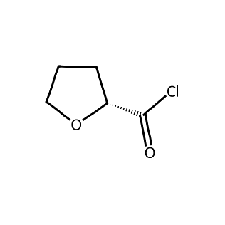 O=C(Cl)[C@H]1CCCO1